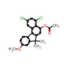 COc1ccc2c(c1)C(C)(C)c1cc(OC(C)=O)c3c(Cl)cc(Cl)cc3c1-2